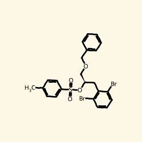 Cc1ccc(S(=O)(=O)O[C@@H](COCc2ccccc2)Cc2c(Br)cccc2Br)cc1